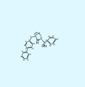 CC(Cc1ccc(-c2ccccc2)cc1)NCC(O)c1ccccc1